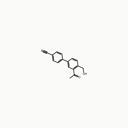 CC(=O)c1cc(-c2ccc(C#N)cc2)ccc1CO